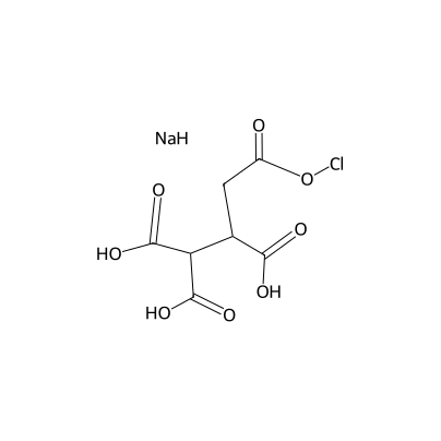 O=C(CC(C(=O)O)C(C(=O)O)C(=O)O)OCl.[NaH]